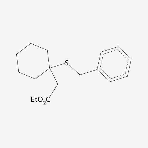 CCOC(=O)CC1(SCc2ccccc2)CCCCC1